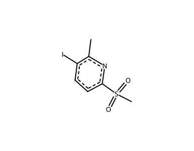 Cc1nc(S(C)(=O)=O)ccc1I